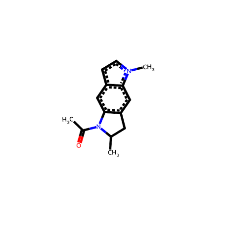 CC(=O)N1c2cc3ccn(C)c3cc2CC1C